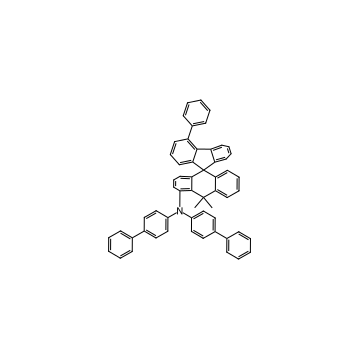 CC1(C)c2ccccc2C2(c3ccccc3-c3c(-c4ccccc4)cccc32)c2cccc(N(c3ccc(-c4ccccc4)cc3)c3ccc(-c4ccccc4)cc3)c21